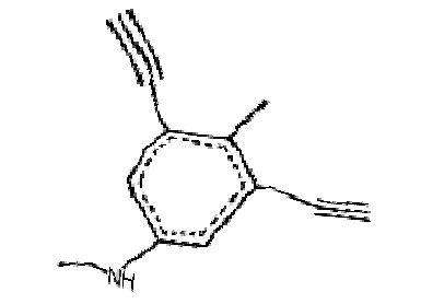 C#Cc1cc(NC)cc(C#C)c1C